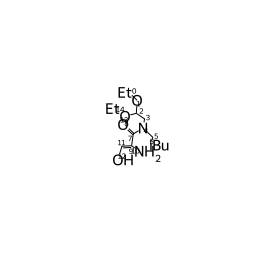 CCOC(CN(CC(C)CC)C(=O)C(N)=CO)OCC